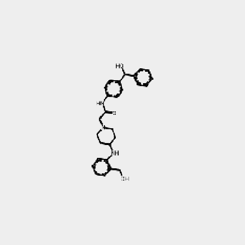 O=C(CN1CCC(Nc2ccccc2CO)CC1)Nc1ccc(C(O)c2ccccc2)cc1